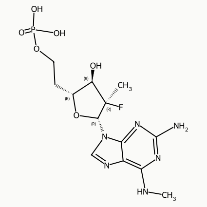 CNc1nc(N)nc2c1ncn2[C@@H]1O[C@H](CCOP(=O)(O)O)[C@@H](O)[C@@]1(C)F